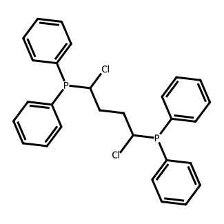 ClC(CCC(Cl)P(c1ccccc1)c1ccccc1)P(c1ccccc1)c1ccccc1